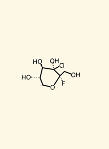 OC[C@@]1(F)O[CH][C@H](O)[C@@H](O)[C@@]1(O)Cl